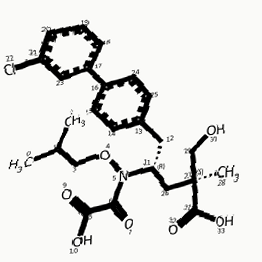 CC(C)CON(C(=O)C(=O)O)[C@H](Cc1ccc(-c2cccc(Cl)c2)cc1)C[C@@](C)(CO)C(=O)O